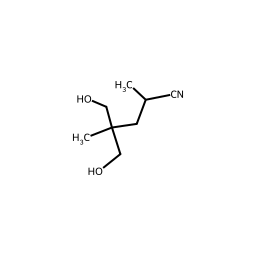 CC(C#N)CC(C)(CO)CO